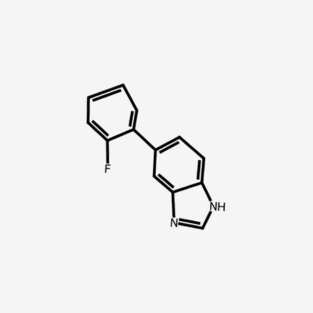 Fc1ccccc1-c1ccc2[nH]cnc2c1